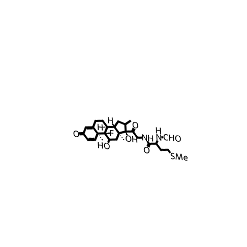 CSCCC(NC=O)C(=O)NCC(=O)[C@@]1(O)C(C)C[C@H]2[C@@H]3CCC4=CC(=O)C=C[C@]4(C)[C@@]3(F)C(O)C[C@@]21C